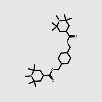 CN1C(C)(C)CC(C(=O)OCC2CCC(COC(=O)C3CC(C)(C)N(C)C(C)(C)C3)CC2)CC1(C)C